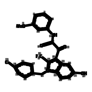 COc1cccc(NC(=O)C(=O)c2c(C(F)(F)F)n(Cc3ccc(Cl)cc3)c3ccc(O)cc23)c1